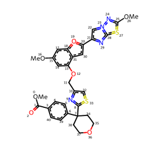 COC(=O)c1ccc(C2(c3nc(COc4cc(OC)cc5oc(-c6cn7nc(OC)sc7n6)cc45)cs3)CCOCC2)cc1